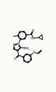 C=COc1cccc(C(=O)c2cnn(-c3cc(C(=O)NC4CC4)ccc3C)c2N)c1